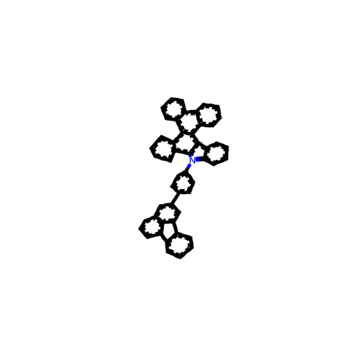 c1ccc2c(c1)-c1cccc3cc(-c4ccc(-n5c6ccccc6c6c7c8ccccc8c8ccccc8c7c7ccccc7c65)cc4)cc-2c13